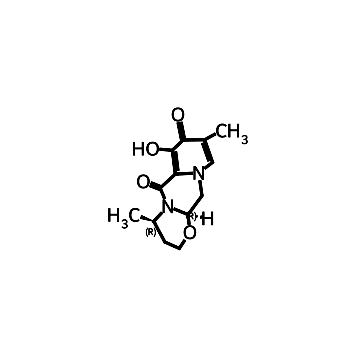 Cc1cn2c(c(O)c1=O)C(=O)N1[C@H](C)CCO[C@@H]1C2